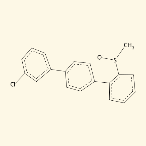 C[S+]([O-])c1ccccc1-c1ccc(-c2cccc(Cl)c2)cc1